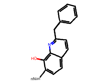 CCCCCCCCCc1ccc2ccc(Cc3ccccc3)nc2c1O